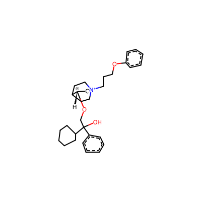 OC(CO[C@H]1C[N+]2(CCCOc3ccccc3)CCC1CC2)(c1ccccc1)C1CCCCC1